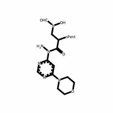 CCCCCC(CN(O)C=O)C(=O)N(N)c1cc(N2CCOCC2)ncn1